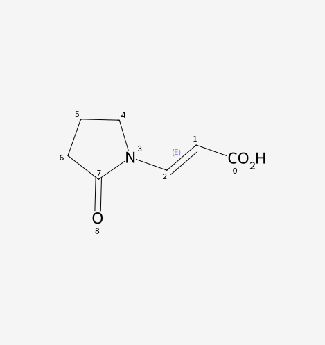 O=C(O)/C=C/N1CCCC1=O